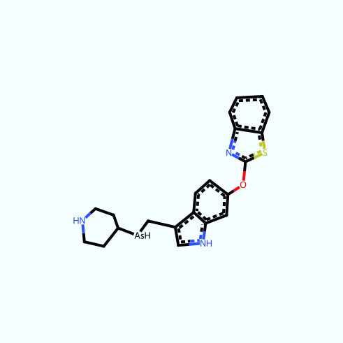 c1ccc2sc(Oc3ccc4c(C[AsH]C5CCNCC5)c[nH]c4c3)nc2c1